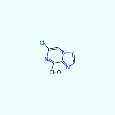 O=Cc1nc(Cl)cn2ccnc12